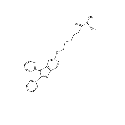 CN(C)C(=O)CCCCCOc1ccc2nc(-c3ccccc3)n(-c3ccccc3)c2c1